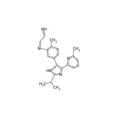 Cc1cccc(-c2nc(C(C)C)[nH]c2-c2ccc(C)c(/N=C\C=N)c2)n1